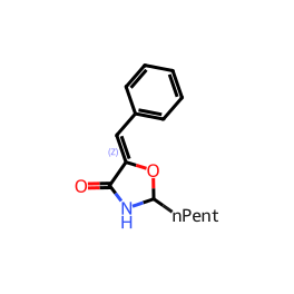 CCCCCC1NC(=O)/C(=C/c2ccccc2)O1